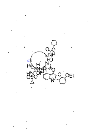 CCOC1=CC=CC2c3nc4ccc(F)cc4c(O[C@@H]4C[C@H]5C(=O)N[C@]6(C(=O)NS(=O)(=O)C7CC7)C[C@H]6/C=C\CCCCC[C@H](NC(=O)OC6CCCC6)C(=O)N5C4)c3OC12